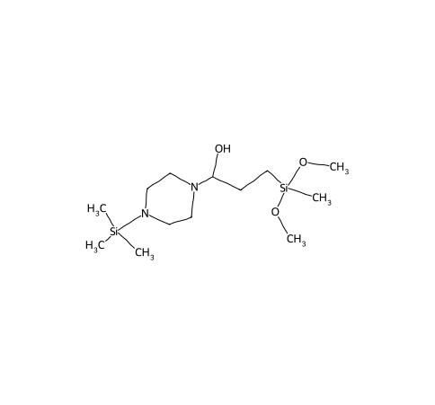 CO[Si](C)(CCC(O)N1CCN([Si](C)(C)C)CC1)OC